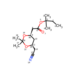 CCC(C)(C)OC(=O)C[C@H]1C[C@@H](CC#N)OC(C)(C)O1